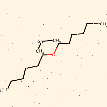 CCCCCCOCCCCCC.[CH3][Sn][CH3]